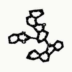 c1ccc2c(c1)ccc1c2oc2cc(-n3c4ccccc4c4ccc5ccccc5c43)cc(-c3nc4ccccc4o3)c21